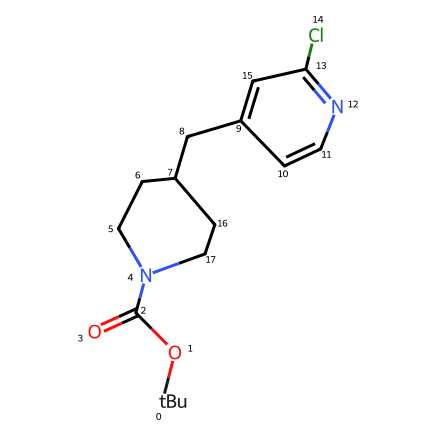 CC(C)(C)OC(=O)N1CCC(Cc2ccnc(Cl)c2)CC1